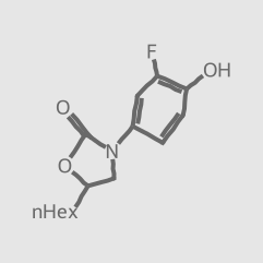 CCCCCCC1CN(c2ccc(O)c(F)c2)C(=O)O1